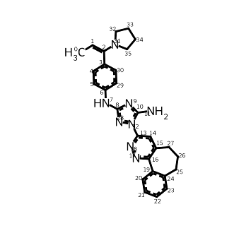 C/C=C(\c1ccc(Nc2nc(N)n(-c3cc4c(nn3)-c3ccccc3CCC4)n2)cc1)N1CCCC1